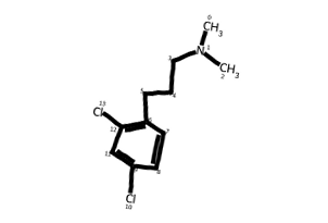 CN(C)C[CH]Cc1ccc(Cl)cc1Cl